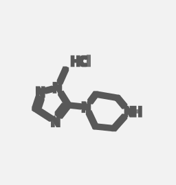 Cl.Cn1ncnc1N1CCNCC1